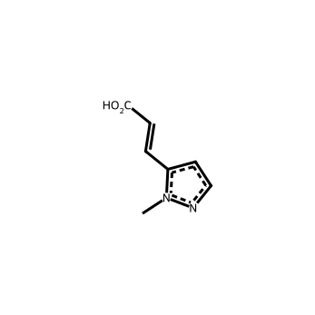 Cn1nccc1C=CC(=O)O